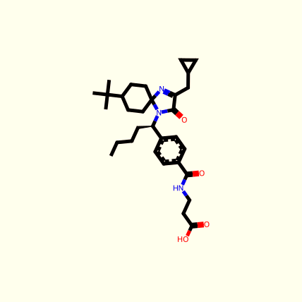 CCCC[C@H](c1ccc(C(=O)NCCC(=O)O)cc1)N1C(=O)C(CC2CC2)=NC12CCC(C(C)(C)C)CC2